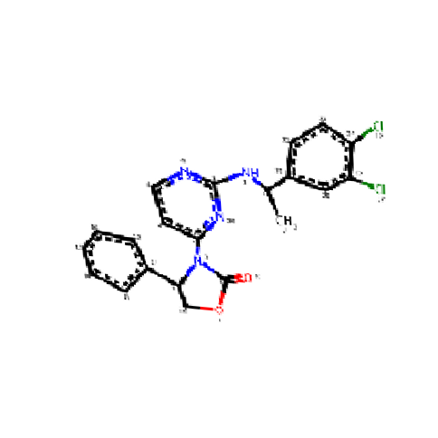 CC(Nc1nccc(N2C(=O)OCC2c2ccccc2)n1)c1ccc(Cl)c(Cl)c1